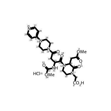 COC(=O)CC1C(=O)N(CC(=O)O)CCN1C(=O)C(CC(=O)N1CCN(c2ccncc2)CC1)NC(=O)OC.Cl